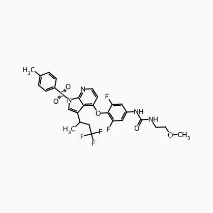 COCCNC(=O)Nc1cc(F)c(Oc2ccnc3c2c(C(C)CC(F)(F)F)cn3S(=O)(=O)c2ccc(C)cc2)c(F)c1